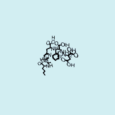 CCCCC(NC(C)=O)C(=O)O.NC(CC(=O)O)C(=O)O.NC(Cc1c[nH]cn1)C(=O)O.NC(Cc1ccccc1)C(=O)O